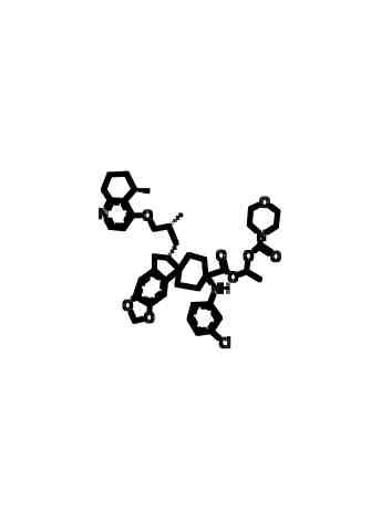 CC(OC(=O)N1CCOCC1)OC(=O)C1(Nc2cccc(Cl)c2)CCC2(CC1)c1cc3c(cc1C[C@@H]2C[C@@H](C)COc1ccnc2c1[C@H](C)CCC2)OCO3